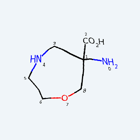 NC1(C(=O)O)CNCCOC1